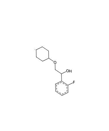 OC(COC1CC[CH]CC1)c1ccccc1F